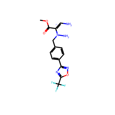 COC(=O)/C(=C/N)N(N)Cc1ccc(-c2noc(C(F)(F)F)n2)cc1